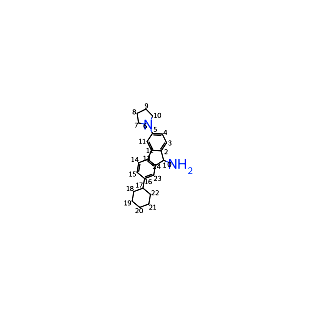 NC1c2ccc(N3CCCC3)cc2-c2ccc(C3CCCCC3)cc21